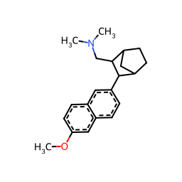 COc1ccc2cc(C3C4CCC(C4)C3CN(C)C)ccc2c1